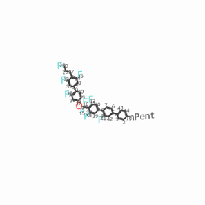 CCCCCc1ccc(-c2ccc(-c3cc(F)c(C(F)(F)Oc4ccc(-c5cc(F)c(CCCF)c(F)c5)c(F)c4)c(F)c3)c(F)c2)cc1